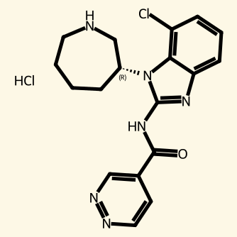 Cl.O=C(Nc1nc2cccc(Cl)c2n1[C@@H]1CCCCNC1)c1ccnnc1